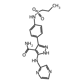 CCCS(=O)(=O)Nc1ccc(-c2n[nH]c(Nc3cnccn3)c2C(N)=O)cc1